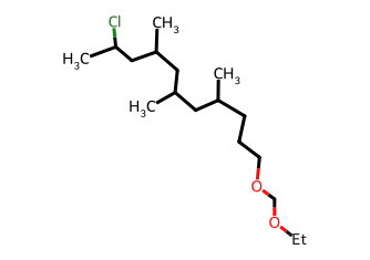 CCOCOCCCC(C)CC(C)CC(C)CC(C)Cl